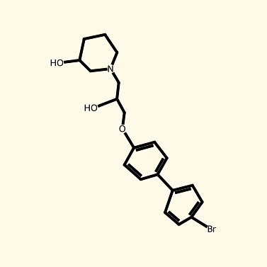 OC1CCCN(CC(O)COc2ccc(-c3ccc(Br)cc3)cc2)C1